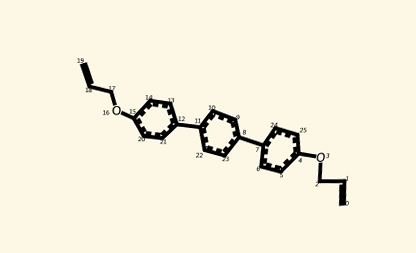 C=CCOc1ccc(-c2ccc(-c3ccc(OCC=C)cc3)cc2)cc1